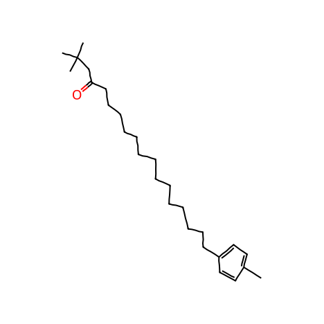 Cc1ccc(CCCCCCCCCCCCCCC(=O)CC(C)(C)C)cc1